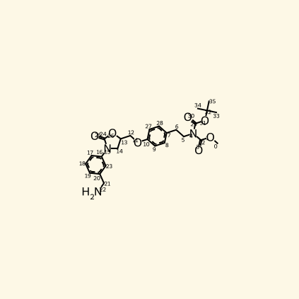 COC(=O)N(CCc1ccc(OCC2CN(c3cccc(CN)c3)C(=O)O2)cc1)C(=O)OC(C)(C)C